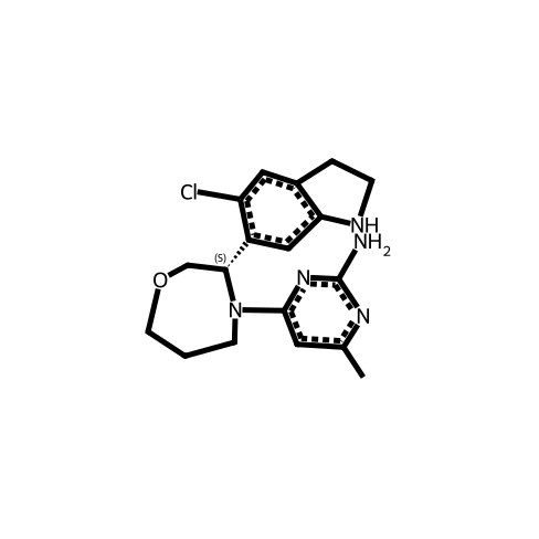 Cc1cc(N2CCCOC[C@@H]2c2cc3c(cc2Cl)CCN3)nc(N)n1